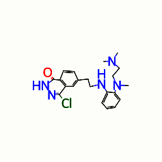 CN(C)CCN(C)c1ccccc1NCCc1ccc2c(=O)[nH]nc(Cl)c2c1